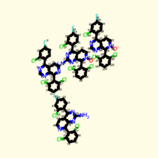 Fc1ccc(-c2ncnc3c(-c4c(Cl)cccc4Cl)nccc23)c(Cl)c1.Nc1nc(-c2ccc(F)cc2Cl)c2cc[n+]([O-])c(-c3c(Cl)cccc3Cl)c2n1.Nc1nc(-c2ccc(F)cc2Cl)c2ccnc(-c3c(Cl)cccc3Cl)c2n1.[O-][n+]1ccc2c(-c3ccc(F)cc3Cl)ncnc2c1-c1c(Cl)cccc1Cl